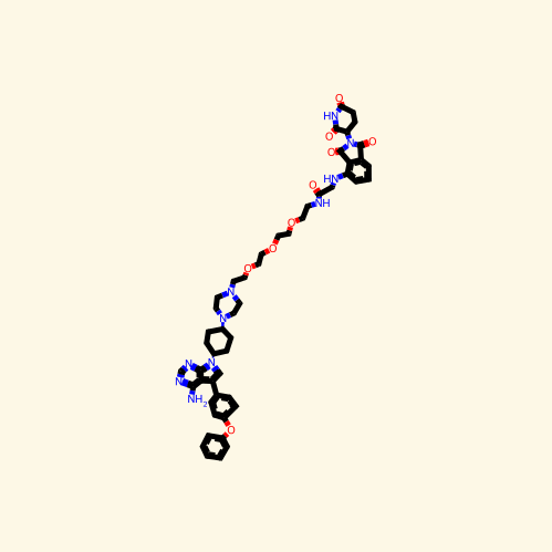 Nc1ncnc2c1c(-c1ccc(Oc3ccccc3)cc1)cn2[C@H]1CC[C@H](N2CCN(CCOCCOCCOCCNC(=O)CNc3cccc4c3C(=O)N(C3CCC(=O)NC3=O)C4=O)CC2)CC1